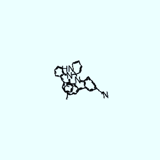 Cc1ccc2c(c1)c1cc(C#N)ccc1n2C1(n2c3ccccc3c3ccccc32)C=CC=CN1